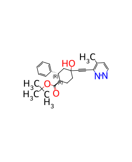 Cc1ccnnc1C#CC1(O)CC[C@@H](C(=O)OC(C)(C)C)[C@H](c2ccccc2)C1